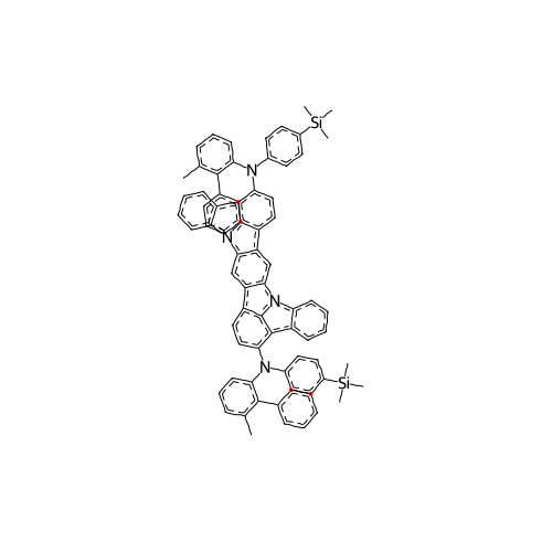 Cc1cccc(N(c2ccc([Si](C)(C)C)cc2)c2ccc3c4cc5c(cc4n4c6ccccc6c2c34)c2ccc(N(c3ccc([Si](C)(C)C)cc3)c3cccc(C)c3-c3ccccc3)c3c4ccccc4n5c23)c1-c1ccccc1